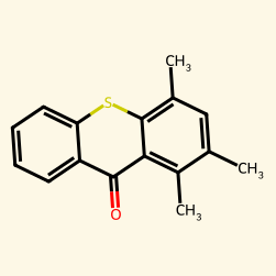 Cc1cc(C)c2sc3ccccc3c(=O)c2c1C